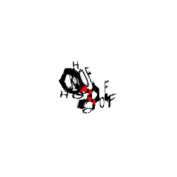 O=S(=O)(c1c(F)cc(OC(F)F)cc1F)N1[C@@H]2CC[C@H]1CC(CN1CCOCC1)C2